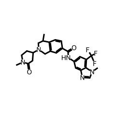 CC1CN(C2CCN(C)C(=O)C2)Cc2cc(C(=O)Nc3cc(C(F)(F)F)c4c(c3)ncn4C)ccc21